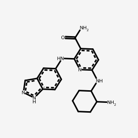 NC(=O)c1ccc(NC2CCCCC2N)nc1Nc1ccc2[nH]ncc2c1